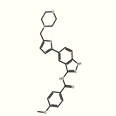 COc1ccc(C(=O)Nc2n[nH]c3ccc(-c4ccc(CN5CCOCC5)s4)cc23)cc1